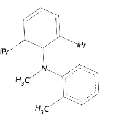 Cc1ccccc1N(C)C1C(C(C)C)=CC=CC1C(C)C